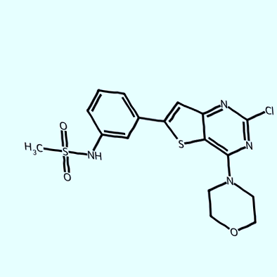 CS(=O)(=O)Nc1cccc(-c2cc3nc(Cl)nc(N4CCOCC4)c3s2)c1